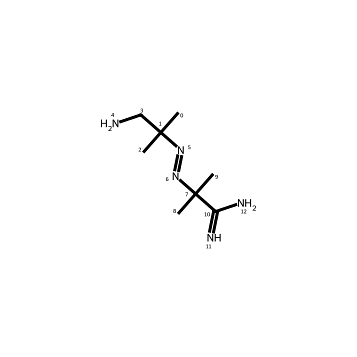 CC(C)(CN)N=NC(C)(C)C(=N)N